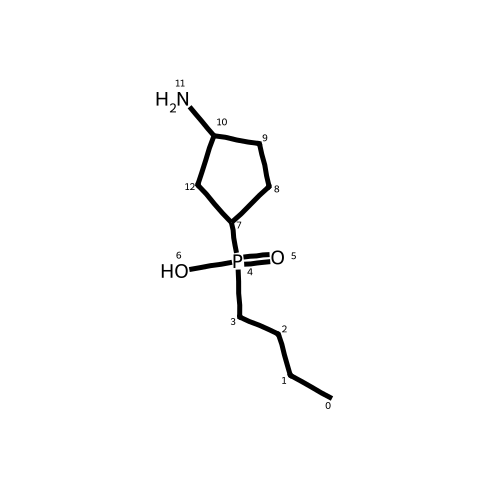 CCCCP(=O)(O)C1CCC(N)C1